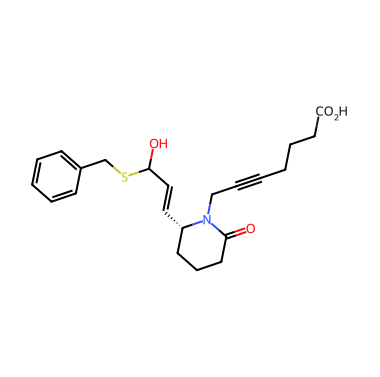 O=C(O)CCCC#CCN1C(=O)CCC[C@@H]1/C=C/C(O)SCc1ccccc1